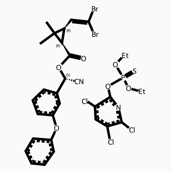 CC1(C)[C@H](C(=O)O[C@H](C#N)c2cccc(Oc3ccccc3)c2)[C@@H]1C=C(Br)Br.CCOP(=S)(OCC)Oc1nc(Cl)c(Cl)cc1Cl